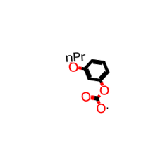 CCCOc1cccc(OC([O])=O)c1